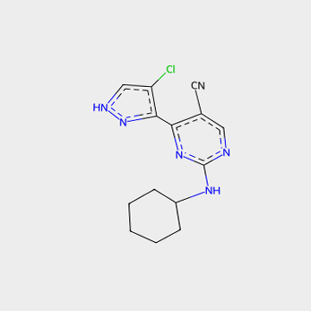 N#Cc1cnc(NC2CCCCC2)nc1-c1n[nH]cc1Cl